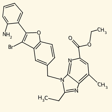 CCOC(=O)c1cc(C)c2nc(CC)n(Cc3ccc4oc(-c5ccccc5N)c(Br)c4c3)c2n1